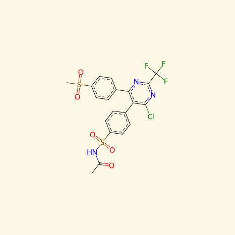 CC(=O)NS(=O)(=O)c1ccc(-c2c(Cl)nc(C(F)(F)F)nc2-c2ccc(S(C)(=O)=O)cc2)cc1